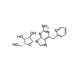 Nc1nc(Cc2ccccn2)c2ncn([C@@H]3O[C@H](CO)[C@@H](O)[C@H]3O)c2n1